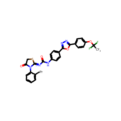 CC(C)c1ccccc1N1C(=O)CS/C1=N\C(=O)Nc1ccc(-c2nnc(-c3ccc(OC(F)(F)C(F)(F)F)cc3)o2)cc1